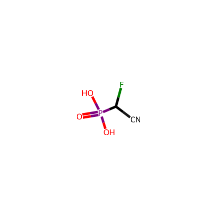 N#CC(F)P(=O)(O)O